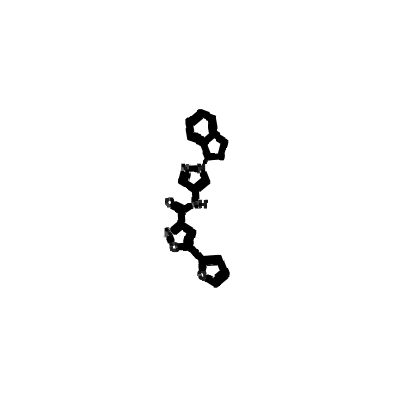 O=C(Nc1cnn([C@H]2CCc3ccccc32)c1)c1cc(-c2ccco2)on1